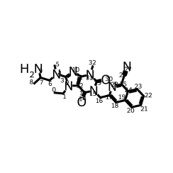 CCn1c(N(C)CC(C)N)nc2c1c(=O)n(Cc1cc3ccccc3c(C#N)n1)c(=O)n2C